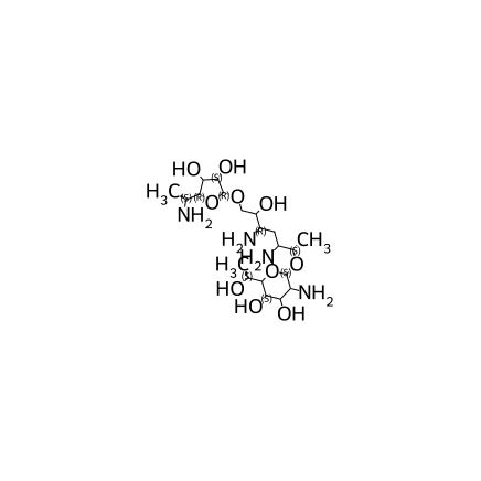 C[C@H](O)C1O[C@H](O[C@@H](C)C(N)C[C@@H](N)C(O)CO[C@@H]2O[C@H]([C@H](C)N)C(O)[C@@H]2O)C(N)C(O)[C@@H]1O